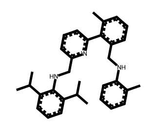 Cc1ccccc1NCc1cccc(C)c1-c1cccc(CNc2c(C(C)C)cccc2C(C)C)n1